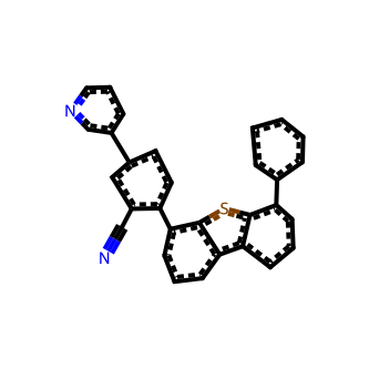 N#Cc1cc(-c2cccnc2)ccc1-c1cccc2c1sc1c(-c3ccccc3)cccc12